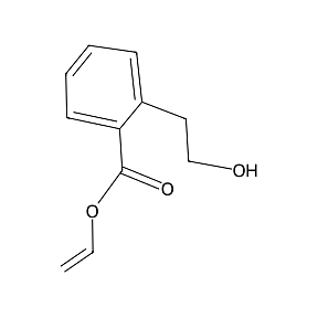 C=COC(=O)c1ccccc1CCO